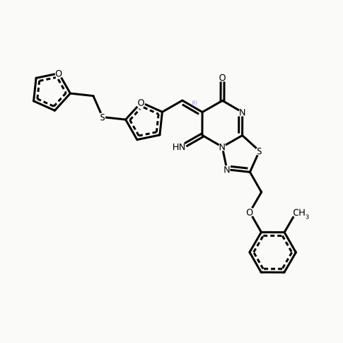 Cc1ccccc1OCC1=NN2C(=N)/C(=C\c3ccc(SCc4ccco4)o3)C(=O)N=C2S1